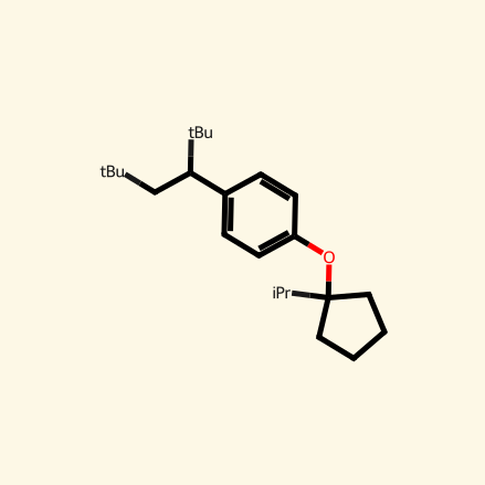 CC(C)C1(Oc2ccc(C(CC(C)(C)C)C(C)(C)C)cc2)CCCC1